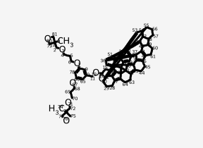 CC1(COCCCOc2cc(COC(=O)CCCC3(c4ccccc4)C45C6=C7CCC8C9C7=C4C4=c7c%10c%11c%12c%13c7C53C(=C%13CCC=%12C3=C%11C5C7=C%10C4=C9C4C8CCC(C5CC3)C74)CC6)cc(OCCCOCC3(C)COC3)c2)COC1